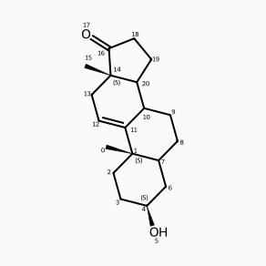 C[C@]12CC[C@H](O)CC1CCC1C2=CC[C@]2(C)C(=O)CCC12